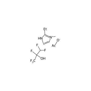 CC(=O)[O-].CCc1[nH]cc[n+]1C.OC(F)(C(F)F)C(F)(F)F